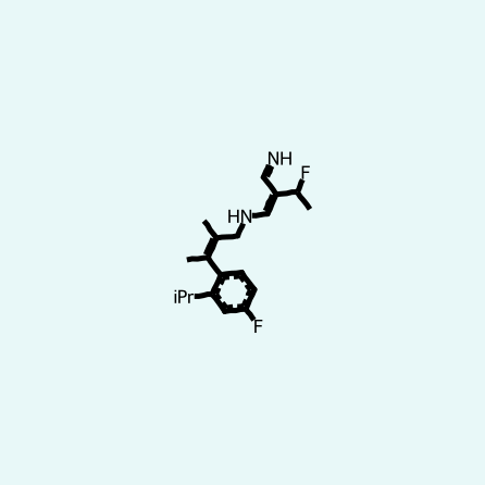 C/C(CN/C=C(\C=N)C(C)F)=C(\C)c1ccc(F)cc1C(C)C